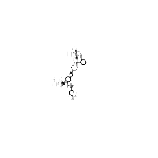 CC(C)(O)c1cc2nn(C3CCN(Cc4ccccc4N4CCC(=O)NC4=O)CC3)cc2cc1NC(=O)c1ccc(C(F)(F)F)nc1